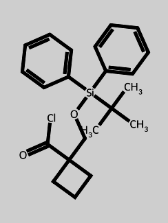 CC(C)(C)[Si](OCC1(C(=O)Cl)CCC1)(c1ccccc1)c1ccccc1